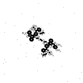 CC(=O)O/N=C(/c1ccc2c(c1)c1cc(C(=O)c3c(C)cc(C)cc3C)c3ccccc3c1n2CC(=O)OCCOC(=O)Cn1c2ccc(/C(=N/OC(C)=O)c3ccccc3OCC(F)(F)C(F)F)cc2c2c3c(c4ccccc4c21)C(=O)c1c(C)cc(C)cc1-3)c1ccccc1OCC(F)(F)C(F)F